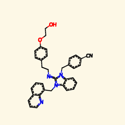 N#Cc1ccc(Cn2/c(=N\CCc3ccc(OCCO)cc3)n(Cc3cccc4cccnc34)c3ccccc32)cc1